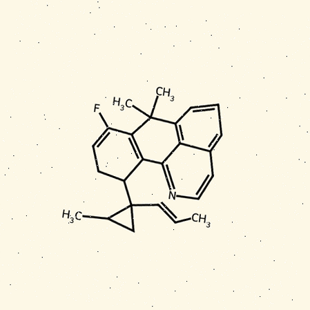 CC=CC1(C2CC=C(F)C3=C2c2nccc4cccc(c24)C3(C)C)CC1C